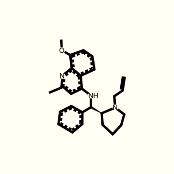 C=CCN1CCCC[C@H]1C(Nc1cc(C)nc2c(OC)cccc12)c1ccccc1